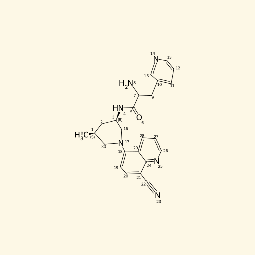 C[C@H]1C[C@@H](NC(=O)C(N)Cc2cccnc2)CN(c2ccc(C#N)c3ncccc23)C1